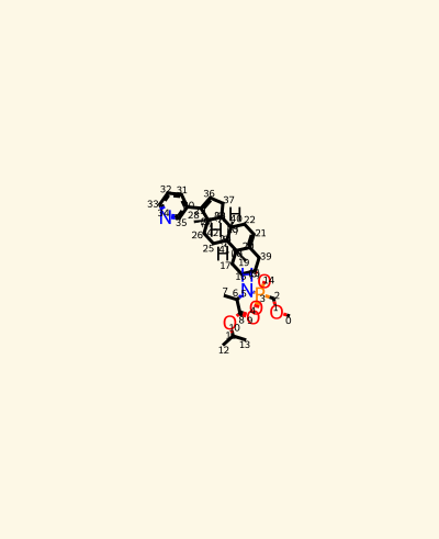 COCP(=O)(NC(C)C(=O)OC(C)C)O[C@H]1CC[C@@]2(C)C(=CC[C@@H]3[C@@H]2CC[C@]2(C)C(c4cccnc4)=CC[C@@H]32)C1